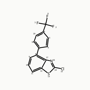 FC(F)(F)c1ccc(-c2cccc3sc(Cl)nc23)cc1